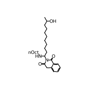 CCCCCCCCNC(CCCCCCCCC(C)O)N1C(=O)Cc2ccccc2C1=O